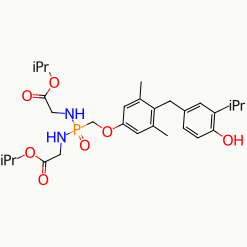 Cc1cc(OCP(=O)(NCC(=O)OC(C)C)NCC(=O)OC(C)C)cc(C)c1Cc1ccc(O)c(C(C)C)c1